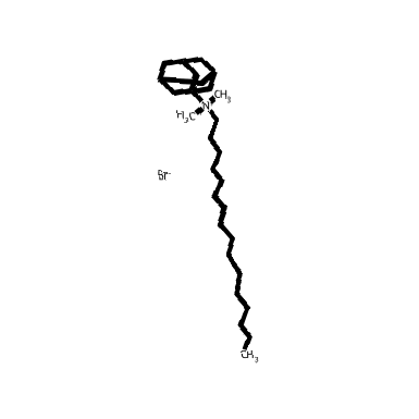 CCCCCCCCCCCCCCCC[N+](C)(C)C12CC3CC(CC(C3)C1)C2.[Br-]